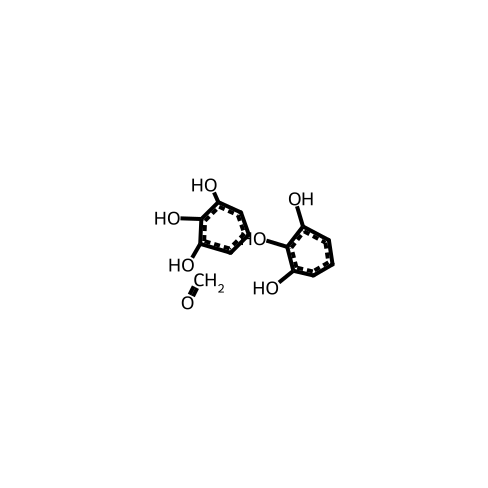 C=O.Oc1cccc(O)c1O.Oc1cccc(O)c1O